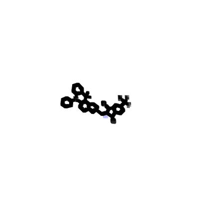 CC1(C)c2ccccc2N(c2ccccc2)c2ccc3cc(/C=C4/C(=O)c5ccc(C(F)(F)F)cc5C4=O)ccc3c21